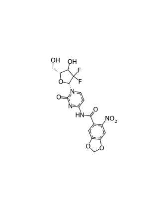 O=C(Nc1ccn([C@@H]2O[C@H](CO)C(O)C2(F)F)c(=O)n1)c1cc2c(cc1[N+](=O)[O-])OCO2